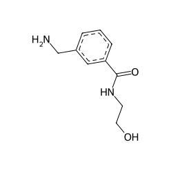 NCc1cccc(C(=O)NCCO)c1